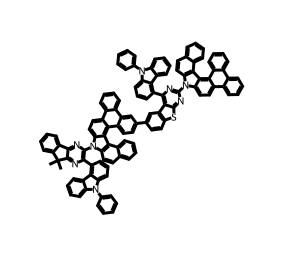 CC1(C)c2ccccc2-c2nc(-n3c4ccc5ccccc5c4c4c5c(ccc43)c3ccccc3c3cc(-c4ccc6sc7nc(-n8c9ccc%10ccccc%10c9c9c%10c%11ccccc%11c%11ccccc%11c%10ccc98)nc(-c8cccc9c8c8ccccc8n9-c8ccccc8)c7c6c4)ccc35)c(-c3cccc4c3c3ccccc3n4-c3ccccc3)nc21